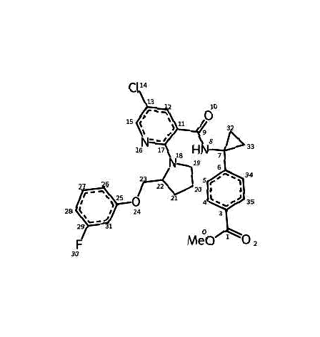 COC(=O)c1ccc(C2(NC(=O)c3cc(Cl)cnc3N3CCCC3COc3cccc(F)c3)CC2)cc1